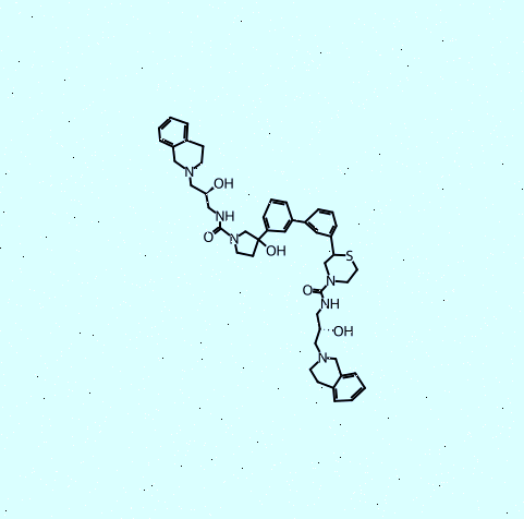 O=C(NC[C@H](O)CN1CCc2ccccc2C1)N1CCSC(c2cccc(-c3cccc(C4(O)CCN(C(=O)NC[C@H](O)CN5CCc6ccccc6C5)C4)c3)c2)C1